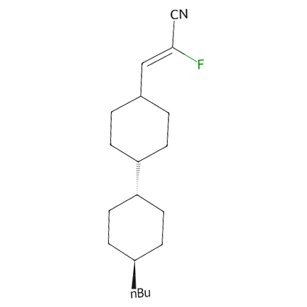 CCCC[C@H]1CC[C@H](C2CCC(C=C(F)C#N)CC2)CC1